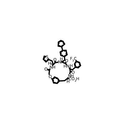 O=C1COc2ccc(cc2)C[C@@H](C(=O)O)NC(=O)[C@@H](Cc2cccc(C(F)(F)F)c2)NC(=O)[C@H](Cc2ccc(-c3ccccc3)cc2)NC(=O)[C@@H](Cc2cccs2)N1